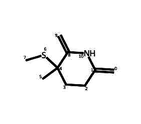 C=C1CCC(C)(SC)C(=C)N1